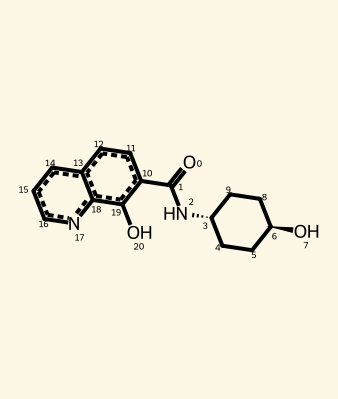 O=C(N[C@H]1CC[C@H](O)CC1)c1ccc2cccnc2c1O